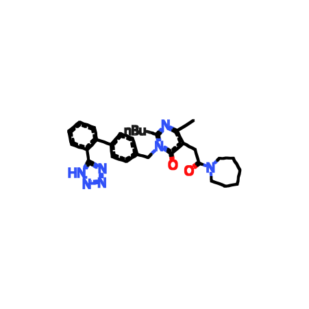 CCCCc1nc(C)c(CC(=O)N2CCCCCC2)c(=O)n1Cc1ccc(-c2ccccc2-c2nnn[nH]2)cc1